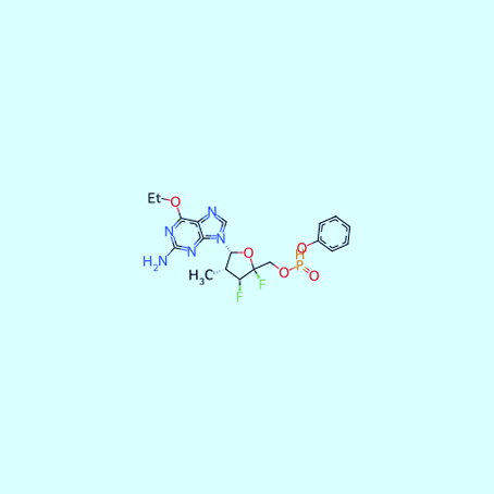 CCOc1nc(N)nc2c1ncn2[C@@H]1O[C@](F)(CO[PH](=O)Oc2ccccc2)[C@@H](F)[C@@H]1C